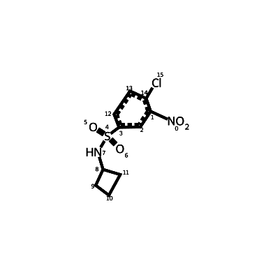 O=[N+]([O-])c1cc(S(=O)(=O)NC2CCC2)ccc1Cl